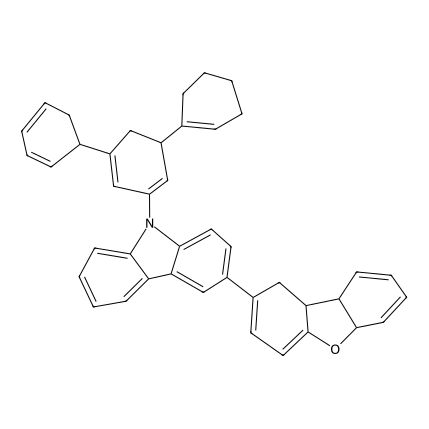 C1=CCC(C2=CC(n3c4ccccc4c4cc(C5=CC=C6OC7C=CC=CC7C6C5)ccc43)=CC(C3=CCCCC3)C2)C=C1